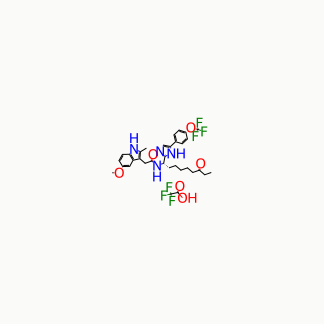 CCC(=O)CCCCC[C@H](NC(=O)Cc1c(C)[nH]c2ccc(OC)cc12)c1ncc(-c2ccc(OC(F)(F)F)cc2)[nH]1.O=C(O)C(F)(F)F